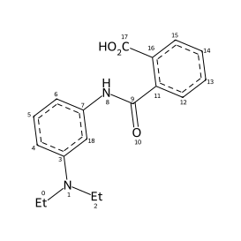 CCN(CC)c1cccc(NC(=O)c2ccccc2C(=O)O)c1